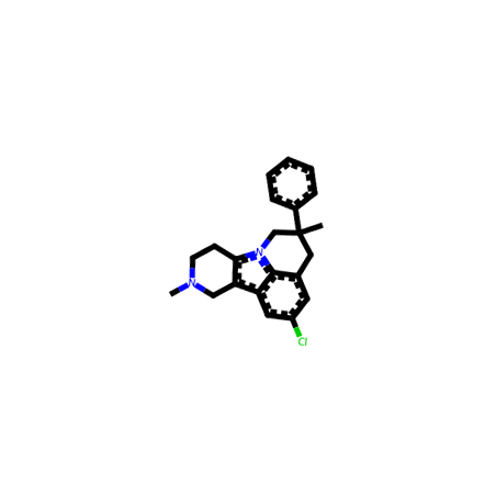 CN1CCc2c(c3cc(Cl)cc4c3n2CC(C)(c2ccccc2)C4)C1